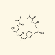 C=C(C)C(=O)OC(=O)CCC(=O)O.C=C(CC)C(=O)OCC(CO)OC(=O)C(C)=Cc1ccccc1